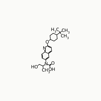 CC(CO)N(C(=O)O)c1ccc2nc(OC3CCC(C(C)(C)C)CC3)ccc2c1